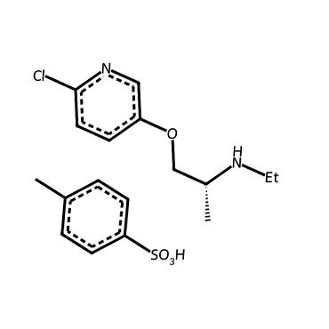 CCN[C@H](C)COc1ccc(Cl)nc1.Cc1ccc(S(=O)(=O)O)cc1